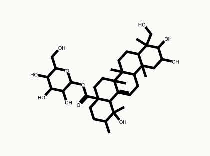 CC1CCC2(C(=O)OC3OC(CO)C(O)C(O)C3O)CCC3(C)C(=CCC4C5(C)CC(O)C(O)C(C)(CO)C5CCC43C)C2C1(C)O